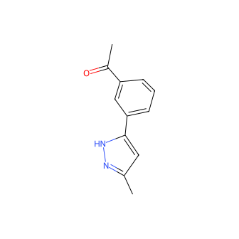 CC(=O)c1cccc(-c2cc(C)n[nH]2)c1